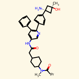 CC(C)C(=O)N(C)C1CCC(CC(=O)Nc2cnc(-c3ccc([C@]4(N)C[C@](C)(O)C4)cc3)c(-c3ccccc3)c2)CC1